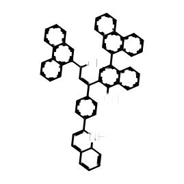 Cc1c(/C(=C\C(C)c2cc3ccccc3c3ccccc23)c2ccc(C3=CC=C4C=CC=CC4N3)cc2)cc(-c2cc3ccccc3c3ccccc23)c2ccccc12